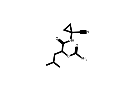 CC(C)CC(OC(N)=O)C(=O)NC1(C#N)CC1